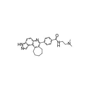 CN(C)CCNC(=O)c1ccc(-c2nc3ccc4[nH]ncc4c3c3c2CCCCC3)cc1